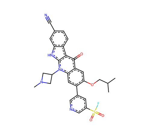 CC(C)COc1cc2c(=O)c3c4ccc(C#N)cc4[nH]c3n(C3CN(C)C3)c2cc1-c1cncc(S(=O)(=O)F)c1